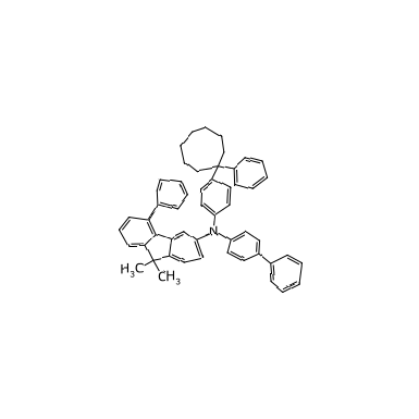 CC1(C)c2ccc(N(c3ccc(-c4ccccc4)cc3)c3ccc(C4(c5ccccc5)CCCCCCC4)cc3)cc2-c2c(-c3ccccc3)cccc21